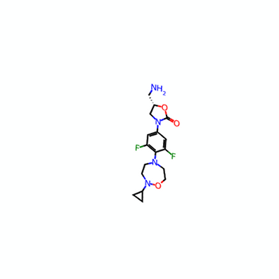 NC[C@H]1CN(c2cc(F)c(N3CCON(C4CC4)CC3)c(F)c2)C(=O)O1